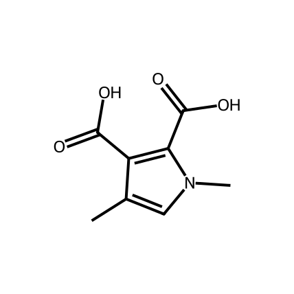 Cc1cn(C)c(C(=O)O)c1C(=O)O